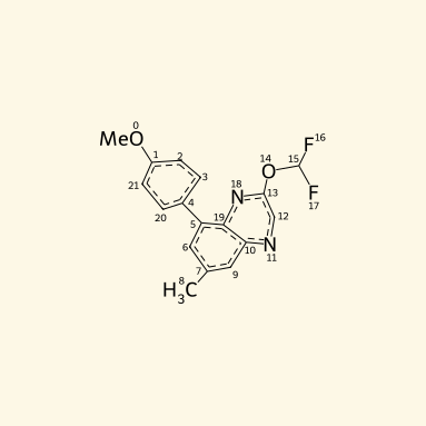 COc1ccc(-c2cc(C)cc3ncc(OC(F)F)nc23)cc1